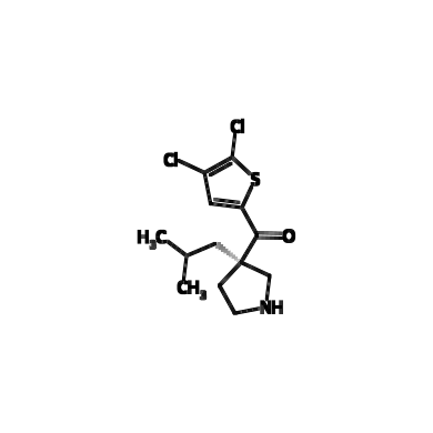 CC(C)C[C@@]1(C(=O)c2cc(Cl)c(Cl)s2)CCNC1